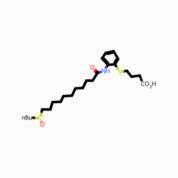 CCCC[S+]([O-])CCCCCCCCCCC(=O)Nc1ccccc1SCCCC(=O)O